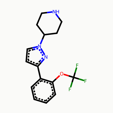 FC(F)(F)Oc1ccccc1-c1ccn(C2CCNCC2)n1